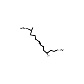 [CH2]CCCCCCCCCCCC(CC)CC/C=C/CCCC(C)CCCCC[CH2]